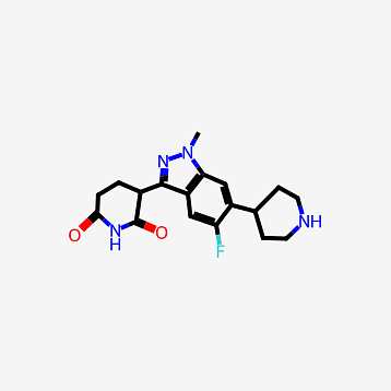 Cn1nc(C2CCC(=O)NC2=O)c2cc(F)c(C3CCNCC3)cc21